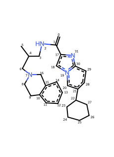 C=C(NCC(C)CN1CCc2ccccc2C1)c1cn2cc(C3CCCCC3)ccc2n1